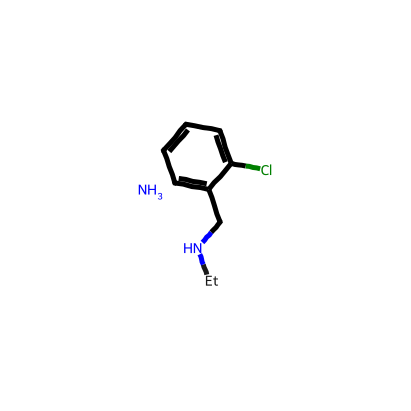 CCNCc1ccccc1Cl.N